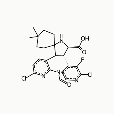 CC1(C)CCC2(CC1)N[C@@H](C(=O)O)[C@H](c1ccnc(Cl)c1F)C2c1ccc(Cl)nc1NC=O